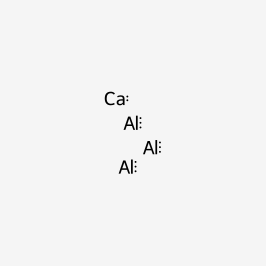 [Al].[Al].[Al].[Ca]